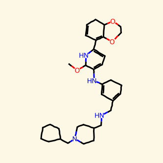 COC1NC(C2=C3OCCOC3CC=C2)=CC=C1NC1=CC(CNCC2CCN(CC3CCCCC3)CC2)=CCC1